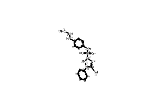 O=CNNc1ccc(NS(=O)(=O)N2N=C(S)N(c3ccccc3)N2)cc1